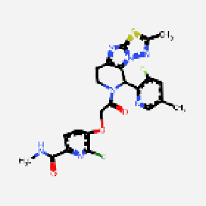 CNC(=O)c1ccc(OCC(=O)N2CCc3nc4sc(C)nn4c3C2c2ncc(C)cc2F)c(Cl)n1